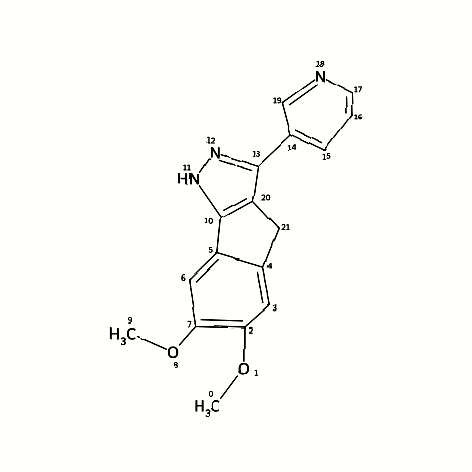 COc1cc2c(cc1OC)-c1[nH]nc(-c3cccnc3)c1C2